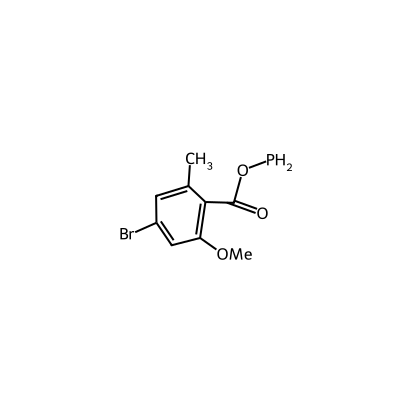 COc1cc(Br)cc(C)c1C(=O)OP